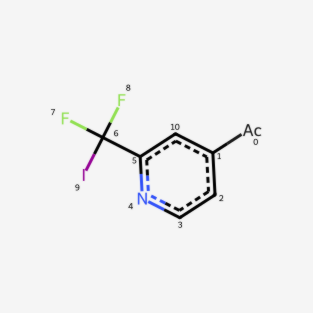 CC(=O)c1ccnc(C(F)(F)I)c1